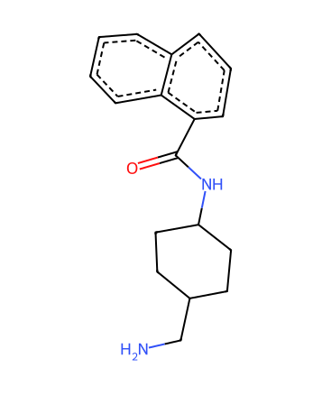 NCC1CCC(NC(=O)c2cccc3ccccc23)CC1